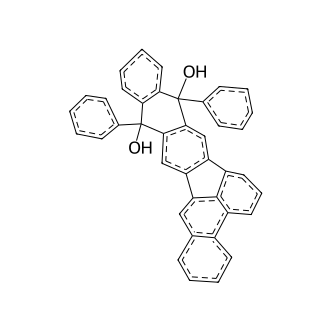 OC1(c2ccccc2)c2ccccc2C(O)(c2ccccc2)c2cc3c(cc21)-c1cccc2c1c-3cc1ccccc12